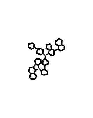 c1ccc(-c2ccc(N(c3ccc(-c4ccccc4-n4c5ccccc5c5ccc6ccccc6c54)cc3)c3ccc(-c4cccc5ccccc45)c4ccccc34)cc2)cc1